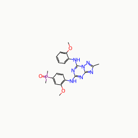 COc1cc(P(C)(C)=O)ccc1Nc1nc(Nc2ccccc2OC)n2nc(C)nc2n1